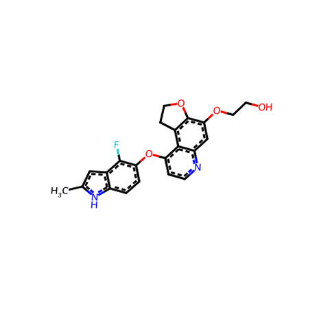 Cc1cc2c(F)c(Oc3ccnc4cc(OCCO)c5c(c34)CCO5)ccc2[nH]1